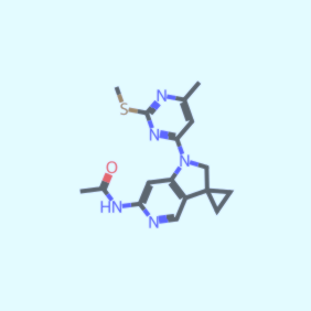 CSc1nc(C)cc(N2CC3(CC3)c3cnc(NC(C)=O)cc32)n1